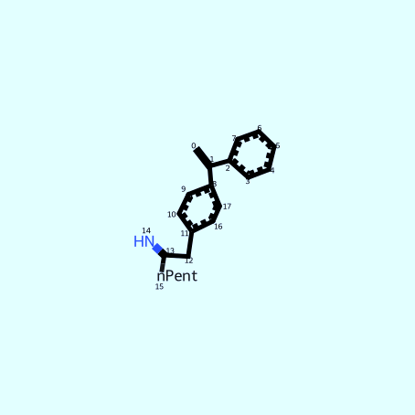 C=C(c1ccccc1)c1ccc(CC(=N)CCCCC)cc1